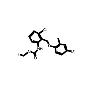 CCc1ccc(OCc2c(Cl)cccc2NC(=O)OCF)c(C)c1